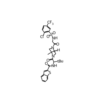 CC(C)(C)C(NC(=O)c1cc2ccccc2s1)C(=O)N1C[C@H]2N(C(=O)CNS(=O)(=O)c3cc(C(F)(F)F)ccc3Cl)CC21C